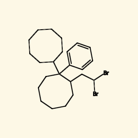 BrC(Br)CC1CCCCCCC1(c1ccccc1)C1CCCCCCC1